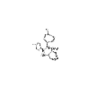 Cc1ccc(N2Bc3ccccc3BN2c2ccc(F)cc2)cc1